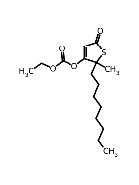 CCCCCCCCC1(C)SC(=O)C=C1OC(=O)OCC